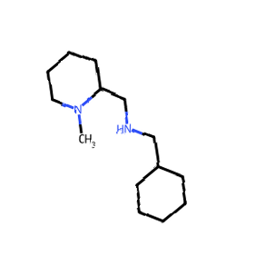 CN1CCCCC1CNCC1CCCCC1